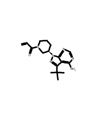 C=CC(=O)N1CCC[C@@H](n2nc(C(C)(C)C)c3c(N)ncnc32)C1